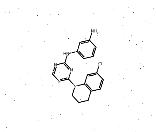 Nc1cccc(Nc2ncnc(N3CCCc4ccc(Cl)cc43)n2)c1